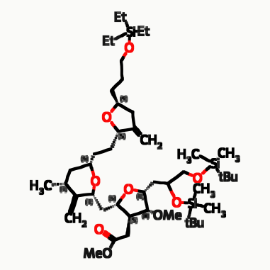 C=C1C[C@H](CCCO[Si](CC)(CC)CC)O[C@H]1CC[C@H]1C[C@@H](C)C(=C)[C@@H](C[C@@H]2O[C@H](CC(CO[Si](C)(C)C(C)(C)C)O[Si](C)(C)C(C)(C)C)[C@H](OC)[C@H]2CC(=O)OC)O1